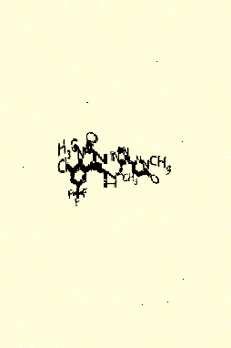 C[C@H](Nc1nc(=O)n(C)c2c(Cl)cc(C(F)(F)F)cc12)c1ncnn1-c1ccc(=O)n(C)n1